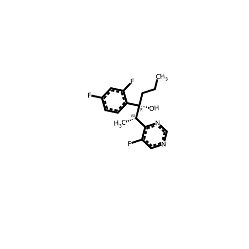 CCC[C@](O)(c1ccc(F)cc1F)[C@@H](C)c1ncncc1F